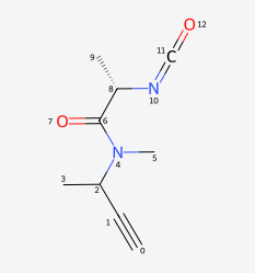 C#CC(C)N(C)C(=O)[C@H](C)N=C=O